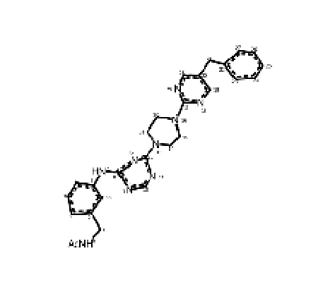 CC(=O)NCc1cccc(Nc2ncnc(N3CCN(c4ncc(Cc5ccccc5)cn4)CC3)n2)c1